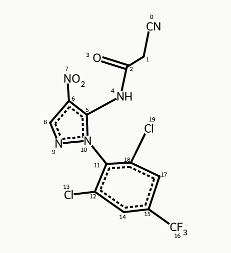 N#CCC(=O)Nc1c([N+](=O)[O-])cnn1-c1c(Cl)cc(C(F)(F)F)cc1Cl